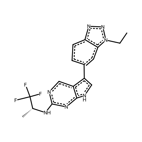 CCn1nnc2ccc(-c3c[nH]c4nc(N[C@H](C)C(F)(F)F)ncc34)cc21